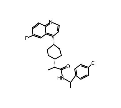 CC(NC(=O)C(C)[C@H]1CC[C@@H](c2ccnc3ccc(F)cc32)CC1)c1ccc(Cl)cc1